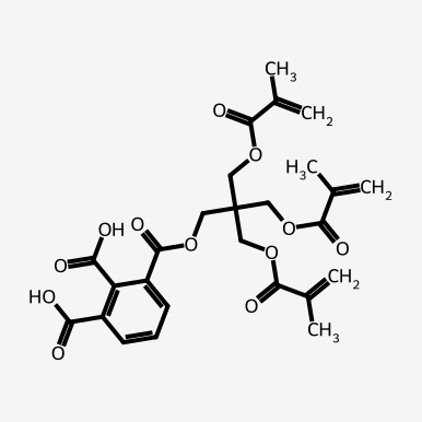 C=C(C)C(=O)OCC(COC(=O)C(=C)C)(COC(=O)C(=C)C)COC(=O)c1cccc(C(=O)O)c1C(=O)O